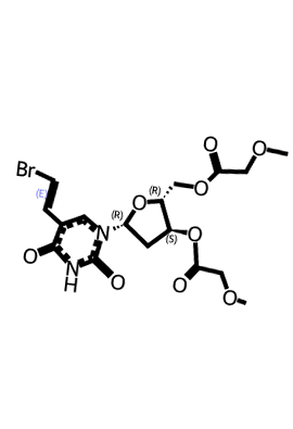 COCC(=O)OC[C@H]1O[C@@H](n2cc(/C=C/Br)c(=O)[nH]c2=O)C[C@@H]1OC(=O)COC